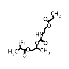 C=CC(=O)OCCNC(=O)OC(C)COC(=O)C(C)C(C)C